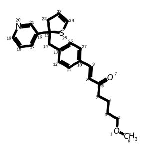 COCCCCC(=O)/C=C/c1ccc(CC2(c3cccnc3)CC=CS2)cc1